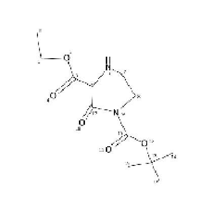 CCOC(=O)C1NCCN(C(=O)OC(C)(C)C)C1=O